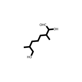 CC(CO)CCCC(C)C(O)C=O